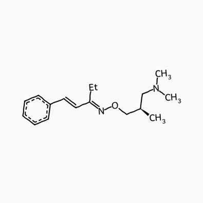 CCC(/C=C/c1ccccc1)=N\OC[C@H](C)CN(C)C